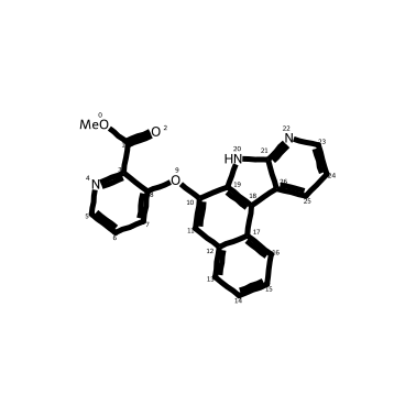 COC(=O)c1ncccc1Oc1cc2ccccc2c2c1[nH]c1ncccc12